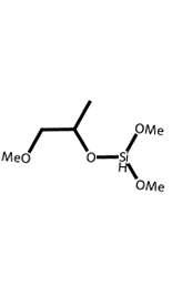 COCC(C)O[SiH](OC)OC